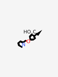 O=C(O)C1(c2ccc(OCc3ccccn3)cc2)CC1